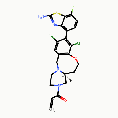 C=CC(=O)N1CCN2Cc3cc(Cl)c(-c4ccc(F)c5sc(N)nc45)c(Cl)c3OCC[C@H]2C1